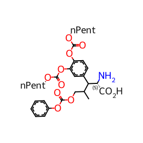 CCCCCOC(=O)Oc1ccc(C(C(C)COC(=O)Oc2ccccc2)[C@H](N)C(=O)O)cc1OC(=O)OCCCCC